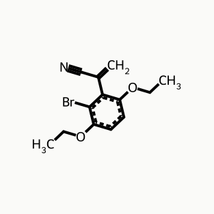 C=C(C#N)c1c(OCC)ccc(OCC)c1Br